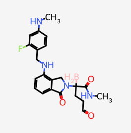 BC(CCC=O)(C(=O)NC)N1Cc2c(NCc3ccc(NC)cc3F)cccc2C1=O